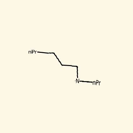 CCCCCC[N]CCC